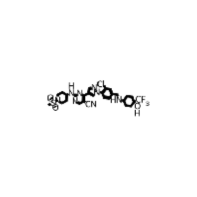 CS(=O)(=O)N1CCC(Nc2ncc(C#N)c(-c3cnn(-c4ccc(CNC5CCC(O)(C(F)(F)F)CC5)cc4Cl)c3)n2)CC1